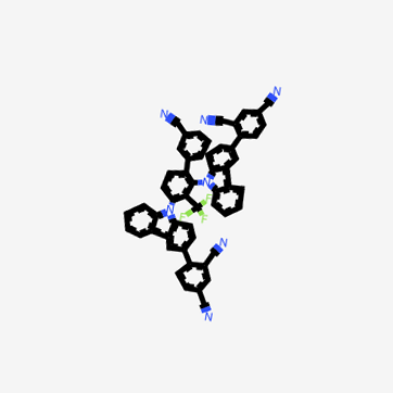 N#Cc1cccc(-c2ccc(-n3c4ccccc4c4cc(-c5ccc(C#N)cc5C#N)ccc43)c(C(F)(F)F)c2-n2c3ccccc3c3cc(-c4ccc(C#N)cc4C#N)ccc32)c1